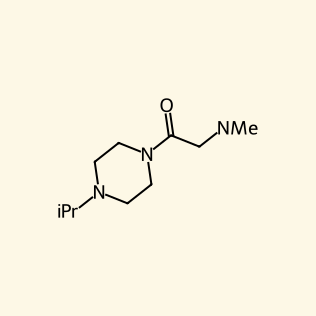 CNCC(=O)N1CCN(C(C)C)CC1